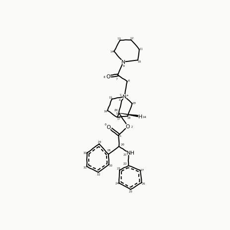 O=C(O[C@H]1C[N+]2(CC(=O)N3CCCCC3)CCC1CC2)C(Nc1ccccc1)c1ccccc1